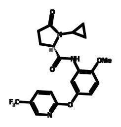 COc1ccc(Oc2ccc(C(F)(F)F)cn2)cc1NC(=O)[C@@H]1CCC(=O)N1C1CC1